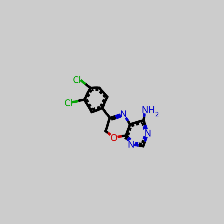 Nc1ncnc2c1N=C(c1ccc(Cl)c(Cl)c1)CO2